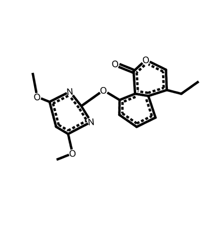 CCc1coc(=O)c2c(Oc3nc(OC)cc(OC)n3)cccc12